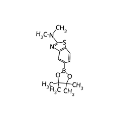 CN(C)c1nc2cc(B3OC(C)(C)C(C)(C)O3)ccc2s1